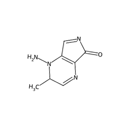 CC1C=NC2=C(C=NC2=O)N1N